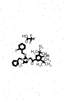 Cc1cn(CC(=O)c2cc(C(C)(C)C)c(O)c(C(C)(C)C)c2)c(=NCc2ccccc2F)n1Cc1ccccc1.O=C(O)C(F)(F)F